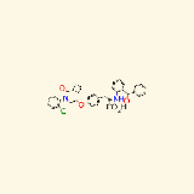 O=C(c1ccccc1)c1ccccc1N[C@@H](Cc1ccc(OCCN(C(=O)C2CCC2)c2ccccc2Cl)cc1)C(=O)O